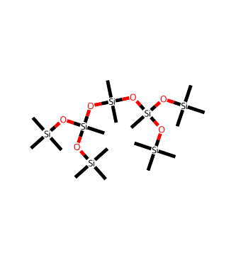 C[Si](C)(C)O[Si](C)(O[Si](C)(C)C)O[Si](C)(C)O[Si](C)(O[Si](C)(C)C)O[Si](C)(C)C